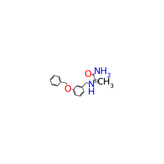 C[C@H](NCc1cccc(OCc2ccccc2)c1)C(N)=O